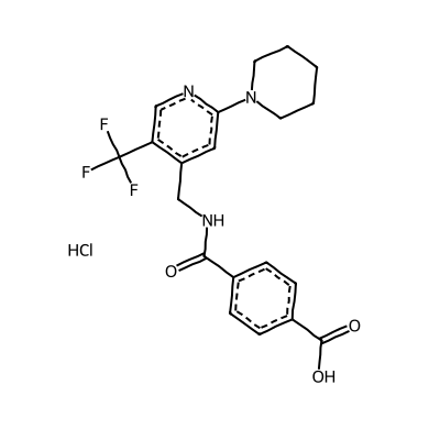 Cl.O=C(O)c1ccc(C(=O)NCc2cc(N3CCCCC3)ncc2C(F)(F)F)cc1